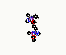 CCCN(P(c1cc(C)cc(C)c1)c1cc(C)c(-c2ccc3cc([C@@H]4N5CCCCN5[C@@H](c5ccc6ccccc6c5)P4N(C)P(c4ccccc4)c4ccccc4)ccc3c2)c(C)c1)P1[C@H](c2ccccc2)N2CCCCN2[C@H]1c1ccccc1